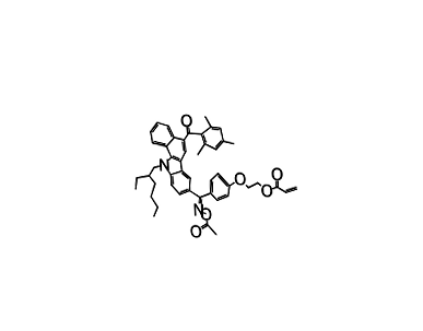 C=CC(=O)OCCOc1ccc(/C(=N\OC(C)=O)c2ccc3c(c2)c2cc(C(=O)c4c(C)cc(C)cc4C)c4ccccc4c2n3CC(CC)CCCC)cc1